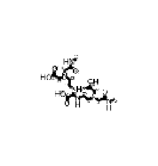 CNC(=O)CN(CCNC(NCCN(CC(=O)O)CC(=O)NC)C(=O)O)CC(=O)O